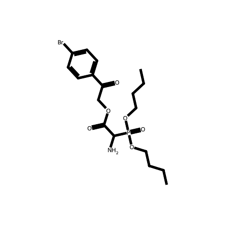 CCCCOP(=O)(OCCCC)C(N)C(=O)OCC(=O)c1ccc(Br)cc1